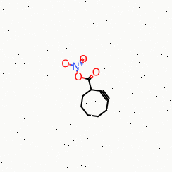 O=C(O[N+](=O)[O-])C1C#CCCCCC1